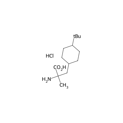 CC(N)(CC1CCC(C(C)(C)C)CC1)C(=O)O.Cl